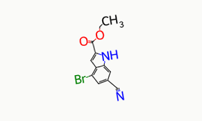 CCOC(=O)c1cc2c(Br)cc(C#N)cc2[nH]1